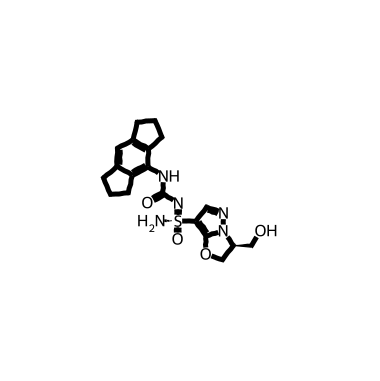 N[S@](=O)(=NC(=O)Nc1c2c(cc3c1CCC3)CCC2)c1cnn2c1OC[C@@H]2CO